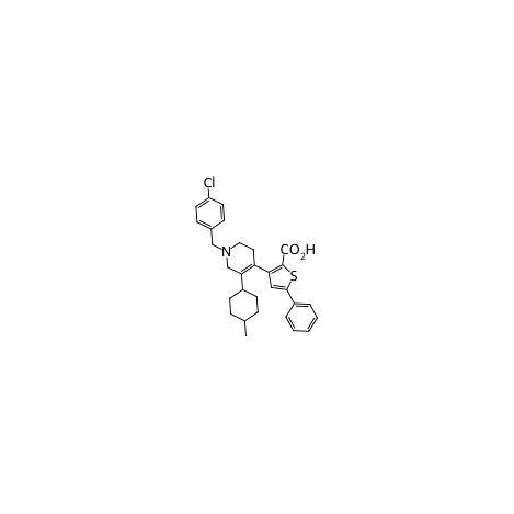 CC1CCC(C2=C(c3cc(-c4ccccc4)sc3C(=O)O)CCN(Cc3ccc(Cl)cc3)C2)CC1